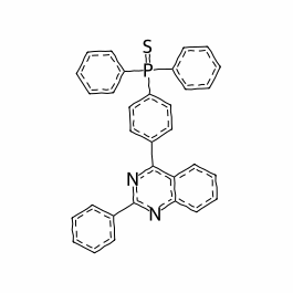 S=P(c1ccccc1)(c1ccccc1)c1ccc(-c2nc(-c3ccccc3)nc3ccccc23)cc1